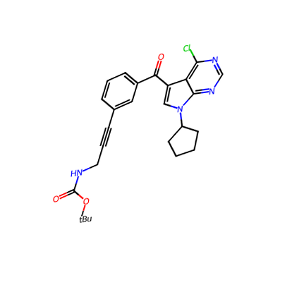 CC(C)(C)OC(=O)NCC#Cc1cccc(C(=O)c2cn(C3CCCC3)c3ncnc(Cl)c23)c1